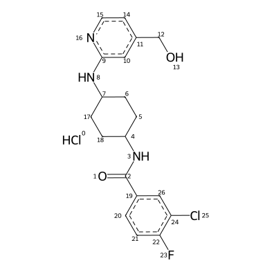 Cl.O=C(NC1CCC(Nc2cc(CO)ccn2)CC1)c1ccc(F)c(Cl)c1